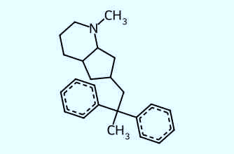 CN1CCCC2CC(CC(C)(c3ccccc3)c3ccccc3)CC21